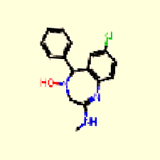 CNC1=Nc2ccc(Cl)cc2C(c2ccccc2)N(O)C1